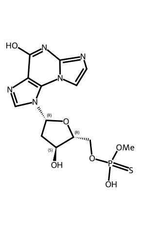 COP(O)(=S)OC[C@H]1O[C@@H](n2cnc3c(O)nc4nccn4c32)C[C@@H]1O